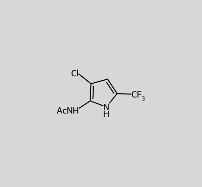 CC(=O)Nc1[nH]c(C(F)(F)F)cc1Cl